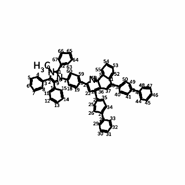 CN1C(c2ccccc2)=C(c2ccccc2)N(c2ccc(-c3cc(-c4ccc(-c5ccccc5)cc4)c4cc(-c5ccc(-c6ccccc6)cc5)c5ccccc5c4n3)cc2)C1c1ccccc1